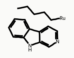 CCCC[CH2][Ru].c1ccc2c(c1)[nH]c1cnccc12